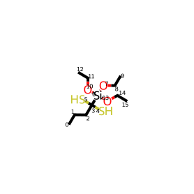 CCCC(S)(S)[Si](OCC)(OCC)OCC